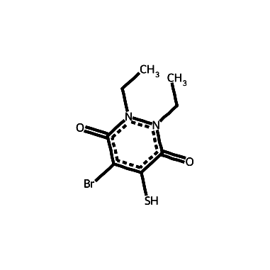 CCn1c(=O)c(S)c(Br)c(=O)n1CC